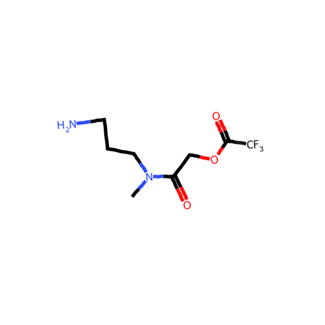 CN(CCCN)C(=O)COC(=O)C(F)(F)F